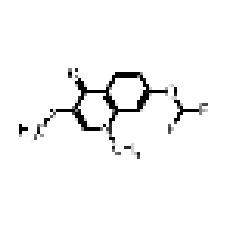 CSc1cn(C)c2cc(OC(F)F)ccc2c1=O